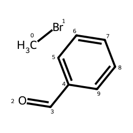 CBr.O=Cc1ccccc1